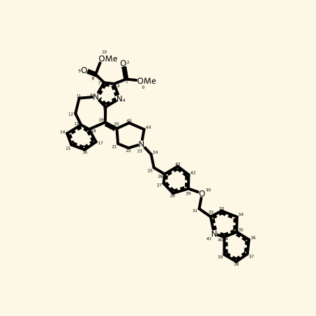 COC(=O)c1nc2n(c1C(=O)OC)CCc1ccccc1C2=C1CCN(CCc2ccc(OCc3ccc4ccccc4n3)cc2)CC1